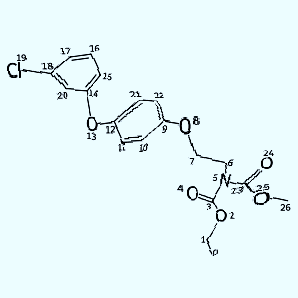 CCOC(=O)N(CCOc1ccc(Oc2cccc(Cl)c2)cc1)C(=O)OC